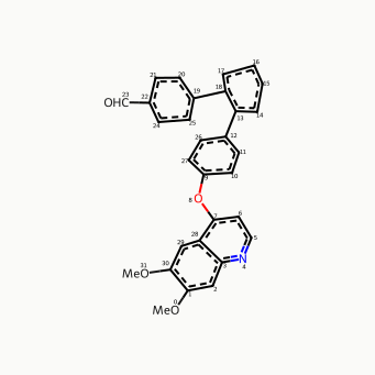 COc1cc2nccc(Oc3ccc(-c4ccccc4-c4ccc(C=O)cc4)cc3)c2cc1OC